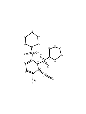 CCCC1=CC=C(S(=O)(=O)C2CCCCC2)C(S(=O)(=O)C2CCCCC2)C1=[N+]=[N-]